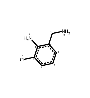 NCc1cccc(Cl)c1N